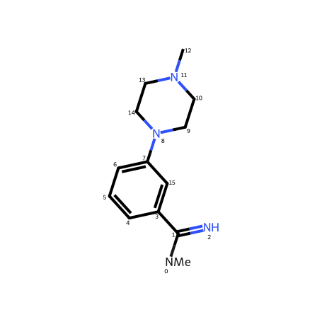 CNC(=N)c1cccc(N2CCN(C)CC2)c1